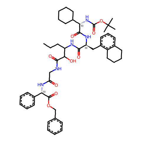 CCCC(NC(=O)[C@H](Cc1cccc2c1CCCC2)NC(=O)[C@@H](NC(=O)OC(C)(C)C)C1CCCCC1)C(O)C(=O)NCC(=O)N[C@H](C(=O)OCc1ccccc1)c1ccccc1